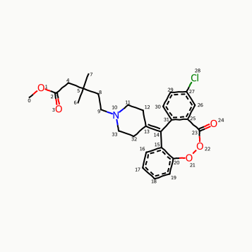 COC(=O)CC(C)(C)CCN1CCC(=C2c3ccccc3OOC(=O)c3cc(Cl)ccc32)CC1